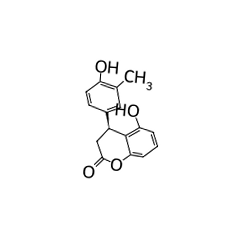 Cc1cc([C@@H]2CC(=O)Oc3cccc(O)c32)ccc1O